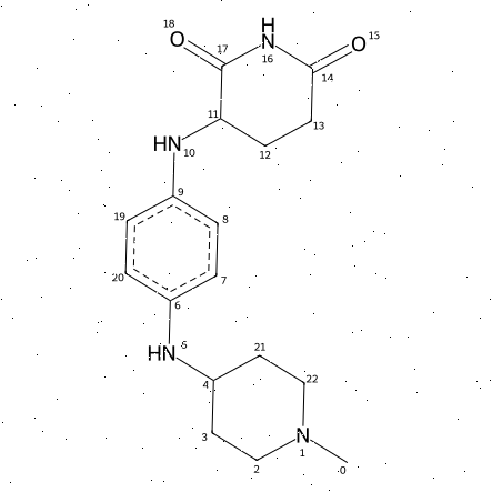 CN1CCC(Nc2ccc(NC3CCC(=O)NC3=O)cc2)CC1